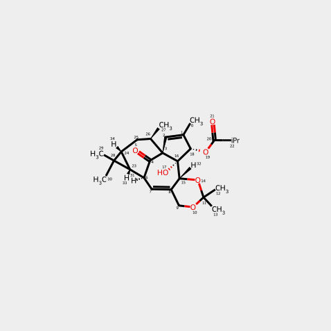 CC1=C[C@]23C(=O)[C@@H](C=C4COC(C)(C)O[C@H]4[C@]2(O)[C@H]1OC(=O)C(C)C)[C@H]1[C@@H](C[C@H]3C)C1(C)C